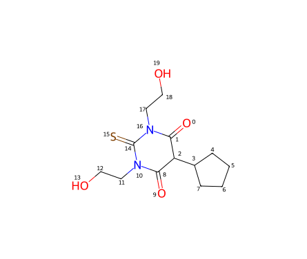 O=C1C(C2CCCC2)C(=O)N(CCO)C(=S)N1CCO